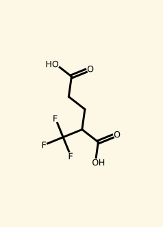 O=C(O)CCC(C(=O)O)C(F)(F)F